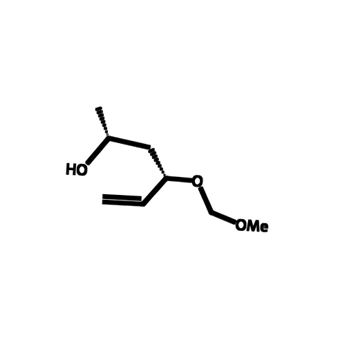 C=C[C@H](C[C@@H](C)O)OCOC